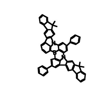 CC1(C)c2ccccc2-c2cc3c4cccc5c4n(c3cc21)-c1cc(-c2ccccc2)cc2c1B5c1cc(-c3ccccc3)cc3c4cc5c(cc4n-2c13)C(C)(C)c1ccccc1-5